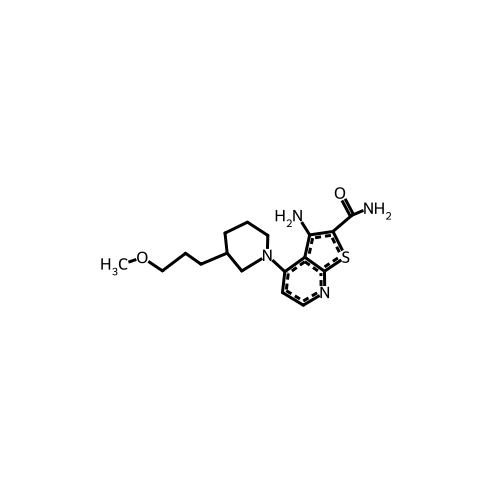 COCCCC1CCCN(c2ccnc3sc(C(N)=O)c(N)c23)C1